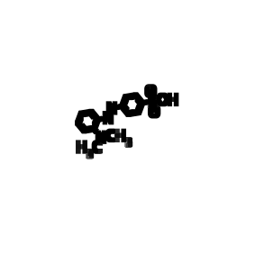 CN(C)c1ccccc1N=Nc1ccc(S(=O)(=O)O)cc1